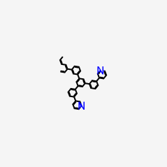 C=C/C(=C\C=C/C)c1cccc(-c2cc(-c3cccc(-c4cccnc4)c3)cc(-c3cccc(-c4cccnc4)c3)c2)c1